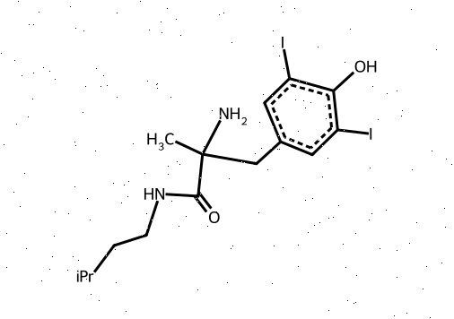 CC(C)CCNC(=O)C(C)(N)Cc1cc(I)c(O)c(I)c1